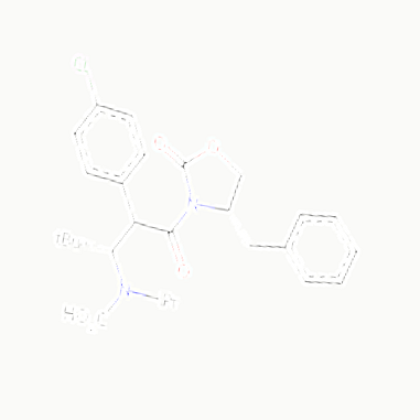 CC(C)N(C(=O)O)[C@@H](C(C(=O)N1C(=O)OC[C@@H]1Cc1ccccc1)c1ccc(Cl)cc1)C(C)(C)C